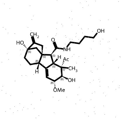 C=C1C[C@]23C[C@@]1(O)CC[C@H]2C1=C[C@@H](OC)[C@H](O)[C@@](C)(C(C)=O)[C@H]1[C@@H]3C(=O)NCCCCO